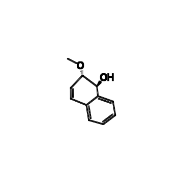 CO[C@H]1C=Cc2ccccc2[C@@H]1O